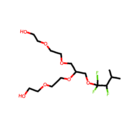 CC(C)C(F)C(F)(F)OCC(COCCOCCO)OCCOCCO